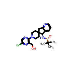 CC(C)(C)[S+]([O-])N[C@@H]1c2cccnc2CC12CCN(c1ncc(Br)nc1CO)CC2